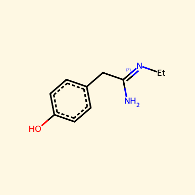 CC/N=C(\N)Cc1ccc(O)cc1